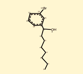 CCCCCCCC(O)c1cccc(Br)c1